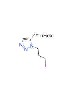 CCCCCCCc1cnnn1CCCI